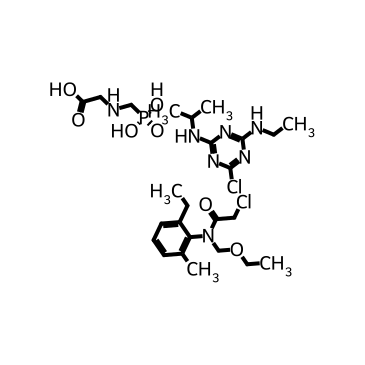 CCNc1nc(Cl)nc(NC(C)C)n1.CCOCN(C(=O)CCl)c1c(C)cccc1CC.O=C(O)CNCP(=O)(O)O